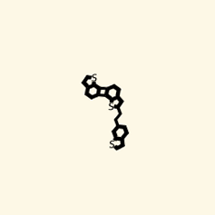 c1cc2ccc(CCc3cc4ccc5c(c4s3)-c3ccc4ccsc4c3-5)cc2s1